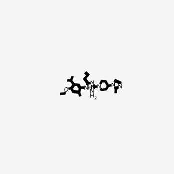 C=C/C=C(\N=C(/N)N1CCC(n2ccnc2C)CC1)Nc1cc(C(C)C)c(OCC)cc1C